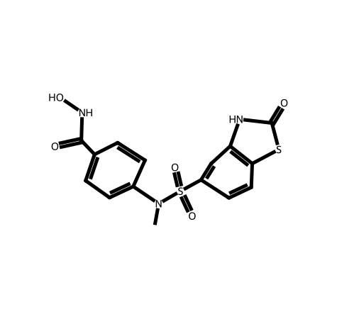 CN(c1ccc(C(=O)NO)cc1)S(=O)(=O)c1ccc2sc(=O)[nH]c2c1